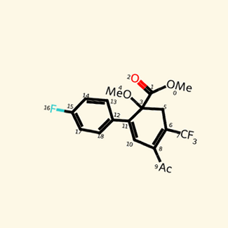 COC(=O)C1(OC)CC(C(F)(F)F)=C(C(C)=O)C=C1c1ccc(F)cc1